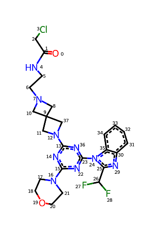 O=C(CCl)NCCN1CC2(C1)CN(c1nc(N3CCOCC3)nc(-n3c(C(F)F)nc4ccccc43)n1)C2